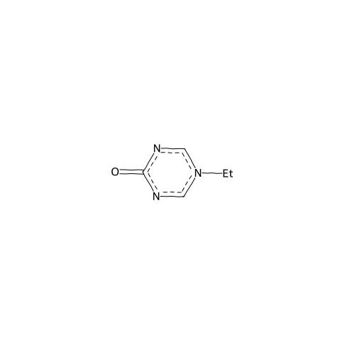 CCn1cnc(=O)nc1